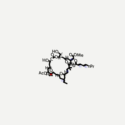 C/C=C1/C[C@H]2C[C@]3(O)O[C@H](C[C@@H](O)CC(=O)O[C@@H]([C@@H](C)O)C[C@@H]4C/C(=C\C(=O)OC)[C@H](OC(=O)/C=C/C=C/CCC)[C@@](O)(O4)C(C)(C)/C=C/[C@@H](C1)O2)C[C@H](OC(C)=O)C3(C)C